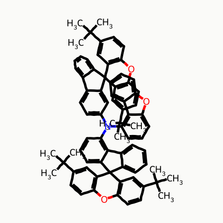 CC(C)(C)c1ccc2c(c1)C1(c3cc(C(C)(C)C)ccc3O2)c2ccccc2-c2ccc(N(c3cccc4c3-c3ccccc3C43c4cc(C(C)(C)C)ccc4Oc4ccc(C(C)(C)C)cc43)c3cccc4oc5ccccc5c34)cc21